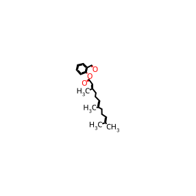 CC(C)=CCC/C(C)=C/CC/C(C)=C/C(=O)Oc1ccccc1C=O